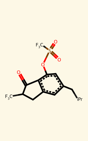 CC(C)Cc1cc2c(c(OS(=O)(=O)C(F)(F)F)c1)C(=O)C(C(F)(F)F)C2